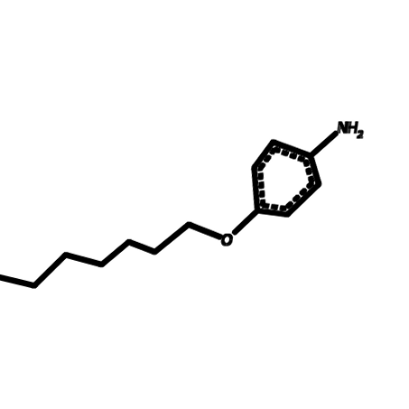 CCCCCCCOc1ccc(N)cc1